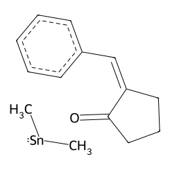 O=C1CCCC1=Cc1ccccc1.[CH3][Sn][CH3]